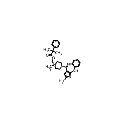 Cc1cc2c(s1)Nc1ccccc1N=C2N1CC[N+](C)(COC(=O)C(C)(C)c2ccccc2)CC1.[I-]